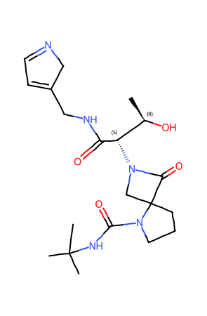 C[C@@H](O)[C@@H](C(=O)NCC1=CC=NC1)N1CC2(CCCN2C(=O)NC(C)(C)C)C1=O